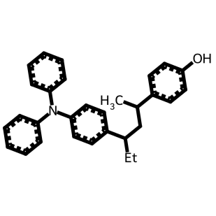 CCC(CC(C)c1ccc(O)cc1)c1ccc(N(c2ccccc2)c2ccccc2)cc1